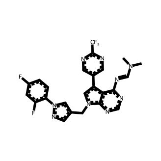 CN(C)C=Nc1ncnc2c1c(-c1cnc(C(F)(F)F)nc1)cn2Cc1cnn(-c2ccc(F)cc2F)c1